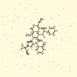 CCC(Nc1c(C#N)cnc2c(Cl)cc(NC(c3cn(C4(C#N)CC4)nn3)c3ccccc3Cl)cc12)c1ccccc1